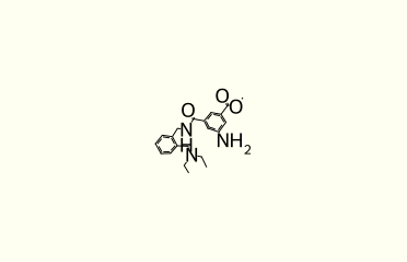 CCN(CC)Cc1ccccc1CNC(=O)c1cc(N)cc(C(=O)OC)c1